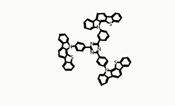 c1cc(-c2nc(-c3ccc(-n4c5ccccc5c5ccc6c7ccccc7sc6c54)cc3)nc(-c3ccc(-n4c5ccccc5c5ccc6c7ccccc7sc6c54)cc3)n2)cc(-n2c3ccccc3c3ccc4c5ccccc5sc4c32)c1